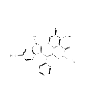 Cc1ccc2c(C(c3ccccc3)C3CN(C)C(=O)c4c(O)c(=O)cnn43)cn(C)c2c1